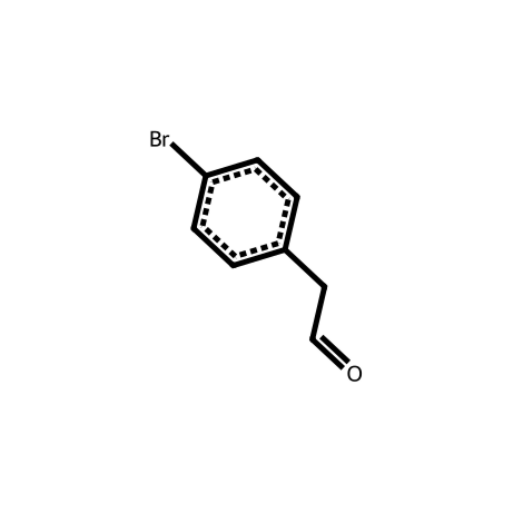 O=CCc1ccc(Br)cc1